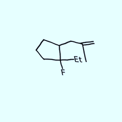 C=C(C)CC1CCCC1(F)CC